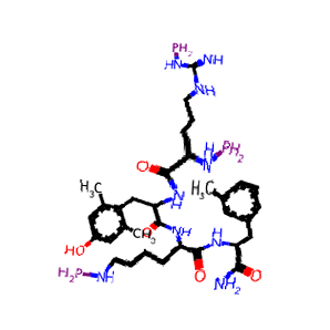 Cc1cccc(CC(NC(=O)C(CCCCNP)NC(=O)C(Cc2c(C)cc(O)cc2C)NC(=O)C(CCCNC(=N)NP)NP)C(N)=O)c1